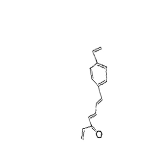 C=CC(=O)C=CC=Cc1ccc(C=C)cc1